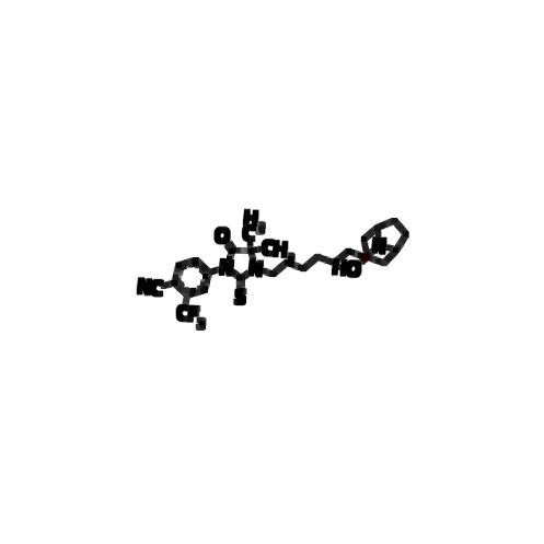 CC1(C)C(=O)N(c2ccc(C#N)c(C(F)(F)F)c2)C(=S)N1CCCCCCCN1C2CCC1CC(O)C2